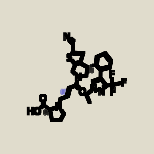 CCn1cc(-c2ccccc2[C@@H]2CN(C(=O)/C=C/CN3CCC[C@H]3C(=O)O)Cc3sc(C#N)cc32)c(C(F)(F)F)n1